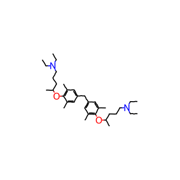 CCN(CC)CCCC(C)Oc1c(C)cc(Cc2cc(C)c(OC(C)CCCN(CC)CC)c(C)c2)cc1C